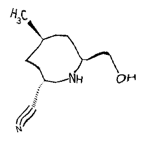 C[C@H]1C[C@@H](CO)N[C@H](C#N)C1